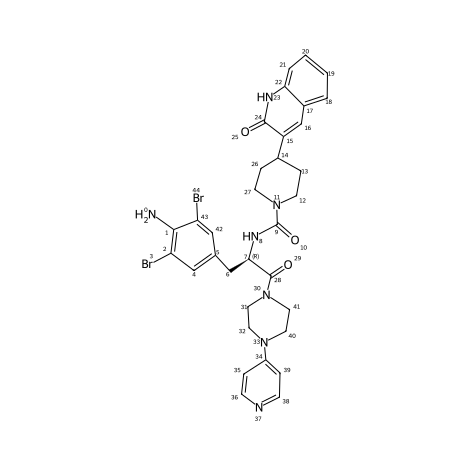 Nc1c(Br)cc(C[C@@H](NC(=O)N2CCC(c3cc4ccccc4[nH]c3=O)CC2)C(=O)N2CCN(c3ccncc3)CC2)cc1Br